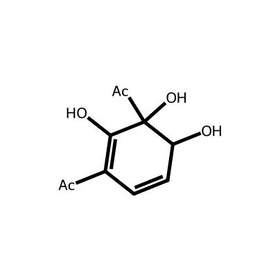 CC(=O)C1=C(O)C(O)(C(C)=O)C(O)C=C1